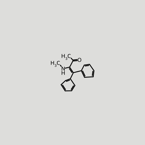 CNC(C(C)=O)=C(c1ccccc1)c1ccccc1